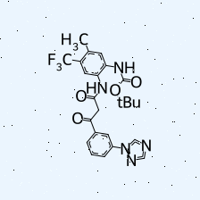 Cc1cc(NC(=O)OC(C)(C)C)c(NC(=O)CC(=O)c2cccc(-n3cncn3)c2)cc1C(F)(F)F